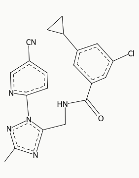 Cc1nc(CNC(=O)c2cc(Cl)cc(C3CC3)c2)n(-c2ccc(C#N)cn2)n1